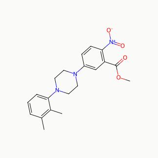 COC(=O)c1cc(N2CCN(c3cccc(C)c3C)CC2)ccc1[N+](=O)[O-]